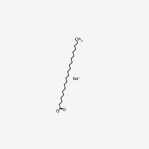 CCCCCCCCCCCCCCCCCCCCCC(=O)[O-].[Na+]